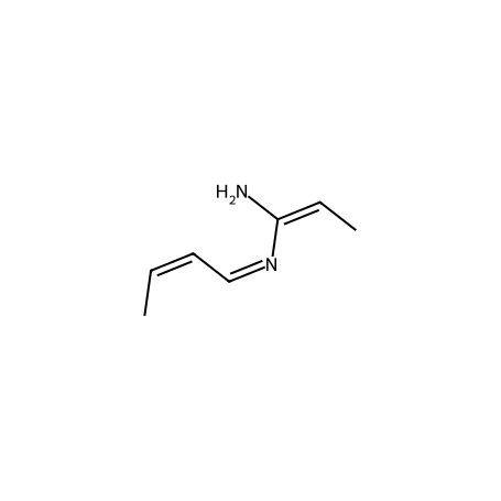 C\C=C/C=N\C(N)=C/C